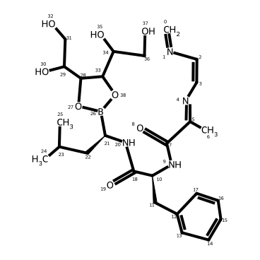 C=N/C=C\N=C(/C)C(=O)N[C@@H](Cc1ccccc1)C(=O)N[C@@H](CC(C)C)B1OC(C(O)CO)C(C(O)CO)O1